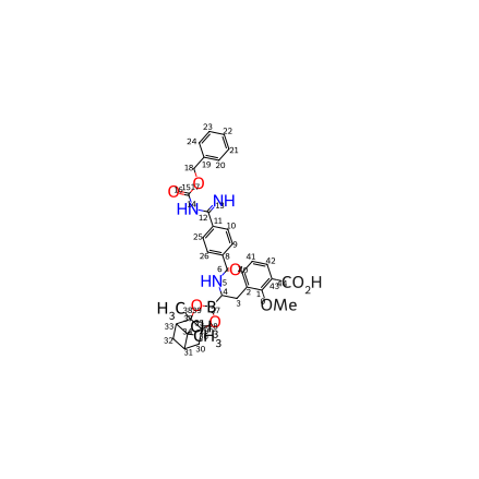 COc1c(CC(NC(=O)c2ccc(C(=N)NC(=O)OCc3ccccc3)cc2)B2OC3CC4CC(C4(C)C)C3(C)O2)cccc1C(=O)O